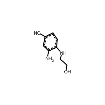 N#Cc1ccc(NCCO)c(N)c1